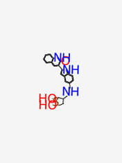 O=c1[nH]c2ccccc2cc1-c1cc2cc(CNCC3CCS(O)(O)C3)ccc2[nH]1